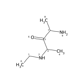 CCNC(C)C(=O)C(C)N